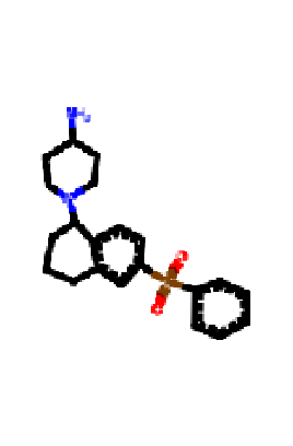 NC1CCN(C2CCCc3cc(S(=O)(=O)c4ccccc4)ccc32)CC1